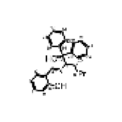 CC(C)CC(N=Cc1ccccc1O)C(O)(c1ccccc1)c1ccccc1